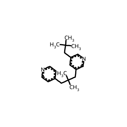 CC(C)(C)Cc1cncc(CC(C)(C)Cc2ccncc2)c1